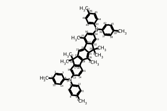 Cc1ccc(N(c2ccc(C)cc2)c2ccc3c(c2)C(C)(C)c2cc4c(c(C)c2-3)C(C)(C)c2cc(N(c3ccc(C)cc3)c3ccc(C)cc3)cc(C)c2-4)cc1